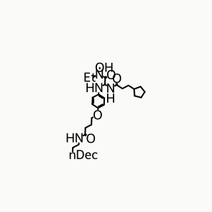 CCCCCCCCCCCCNC(=O)CCCOc1ccc(NC(NC(=O)CCC2CCCC2)C(=O)N(O)CC)cc1